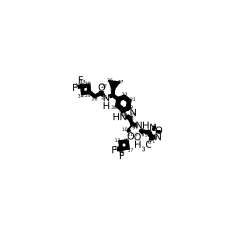 Cc1nonc1C(=O)N[C@@H](COC1CC(F)(F)C1)c1nc2ccc(C(NC(=O)CC3CC(F)(F)C3)C3CC3)cc2[nH]1